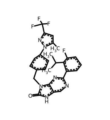 Cc1cc(C(F)(F)F)nn1-c1ccc(Cn2c(=O)[nH]c3cnc(-c4cccc(F)c4C(C)C)nc32)cc1